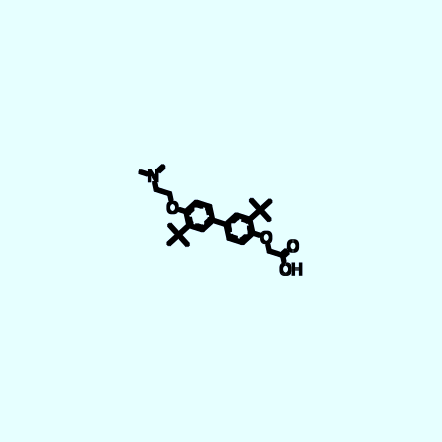 CN(C)CCOc1ccc(-c2ccc(OCC(=O)O)c(C(C)(C)C)c2)cc1C(C)(C)C